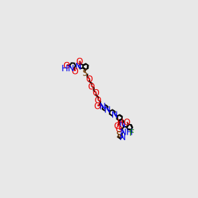 O=C1CCC(N2Cc3c(SCCOCCOCCOCCOCC(=O)N4CCN(C5CCN(c6ccc7c(c6)C(=O)N(C(C(=O)Nc6nccs6)c6cc(F)ccc6O)C7)CC5)CC4)cccc3C2=O)C(=O)N1